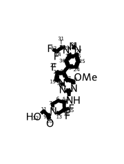 COc1nc(N[C@@H]2CCN(C(=O)CO)CC2(F)F)nn2cc(F)c(-c3ccc4nnn([C@@H](C)C(F)F)c4c3)c12